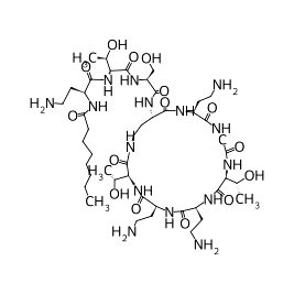 CCCCCCCC(=O)N[C@@H](CCN)C(=O)N[C@H](C(=O)N[C@@H](CO)C(=O)N[C@H]1CCNC(=O)[C@H]([C@@H](C)O)NC(=O)[C@H](CCN)NC(=O)[C@H](CCN)NC(=O)[C@H]([C@@H](C)O)NC(=O)CNC(=O)[C@H](CCN)NC1=O)[C@@H](C)O